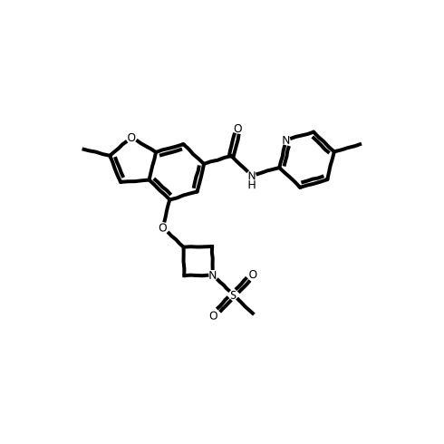 Cc1ccc(NC(=O)c2cc(OC3CN(S(C)(=O)=O)C3)c3cc(C)oc3c2)nc1